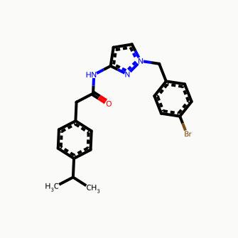 CC(C)c1ccc(CC(=O)Nc2ccn(Cc3ccc(Br)cc3)n2)cc1